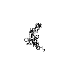 Cc1nc(CNC(=O)NCc2ncnn2-c2ccc3cnccc3c2)n(-c2ccc(Cl)c(F)c2)n1